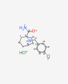 Cl.NC(=O)C12C[CH]CC(CC1)N2Cc1ccc(Cl)cc1